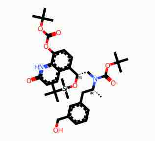 C[C@H](Cc1cccc(CO)c1)N(C[C@H](O[Si](C)(C)C(C)(C)C)c1ccc(OC(=O)OC(C)(C)C)c2[nH]c(=O)ccc12)C(=O)OC(C)(C)C